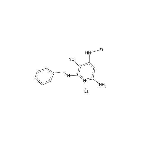 CCNc1cc(N)n(CC)c(=NCc2ccccc2)c1C#N